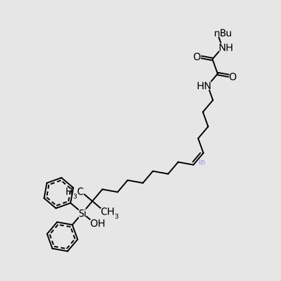 CCCCNC(=O)C(=O)NCCCC/C=C\CCCCCCCC(C)(C)[Si](O)(c1ccccc1)c1ccccc1